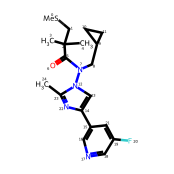 CSCC(C)(C)C(=O)N(CC1CC1)n1cc(-c2cncc(F)c2)nc1C